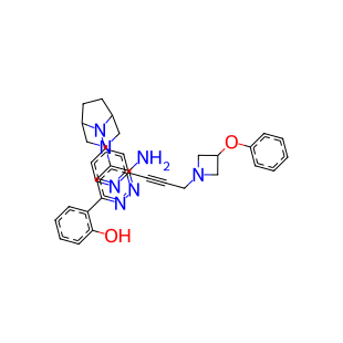 Nc1nnc(-c2ccccc2O)cc1N1CC2CCC(C1)N2c1ccnc(C#CCN2CC(Oc3ccccc3)C2)c1